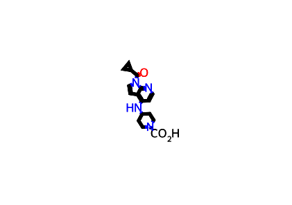 O=C(O)N1CCC(Nc2ccnc3c2ccn3C(=O)C2CC2)CC1